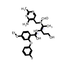 CCOc1ccc(/C(O)=[SH]/C(CCO)=C(/C)N(C=O)Cc2cnc(C)nc2N)c(Oc2cccc(F)c2)c1